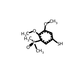 COc1cc(S)cc(P(C)(C)=O)c1OC